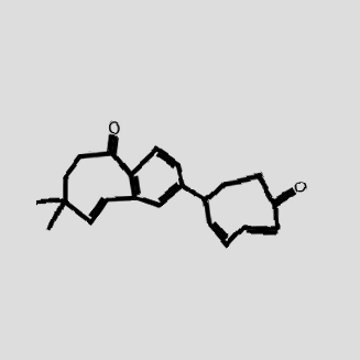 CC1(C)/C=C/c2cc(C3/C=C\C=C\C(=O)CC3)ccc2C(=O)CC1